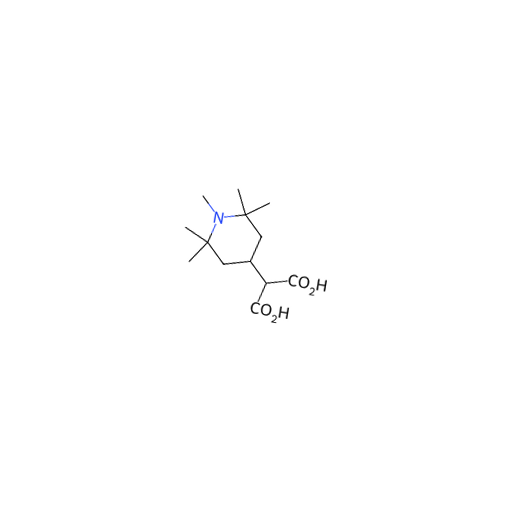 CN1C(C)(C)CC(C(C(=O)O)C(=O)O)CC1(C)C